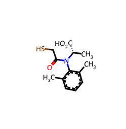 Cc1cccc(C)c1N(C(=O)CS)[C@@H](C)C(=O)O